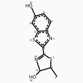 CC1SC(c2nc3ccc(O)cc3s2)=NC1O